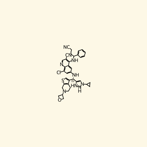 N#CCCC(Nc1c(C#N)cnc2c(Cl)cc(N[C@H](C3=CN(C4CC4)NN3)c3csc4c3CCN(C3COC3)C4)cc12)c1ccccc1